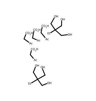 CC(=O)CC(=O)O.CC(=O)CC(=O)O.CC(=O)CC(=O)O.CC(=O)CC(=O)O.CCC(CO)(CO)CO.CCC(CO)(CO)CO